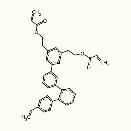 C=CC(=O)OCCc1cc(CCOC(=O)C=C)cc(-c2cccc(-c3ccccc3-c3ccc(C=C)cc3)c2)c1